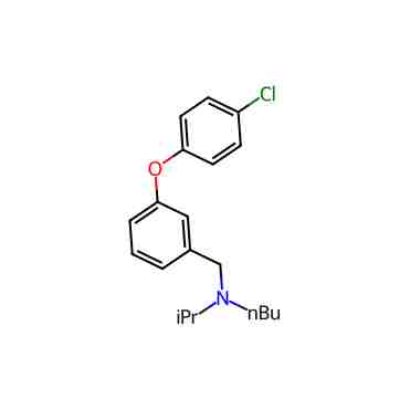 CCCCN(Cc1cccc(Oc2ccc(Cl)cc2)c1)C(C)C